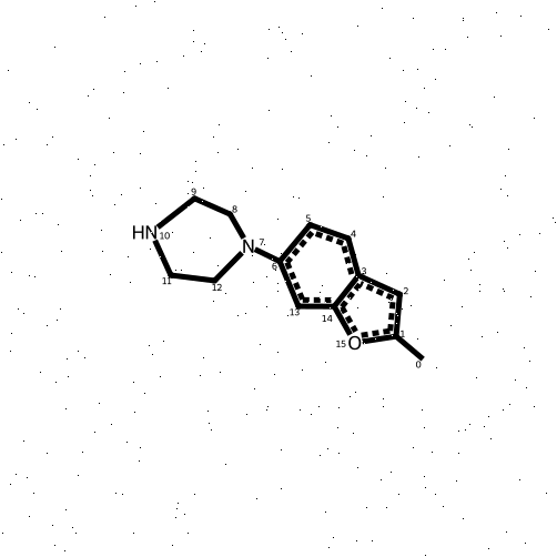 Cc1cc2ccc(N3CCNCC3)cc2o1